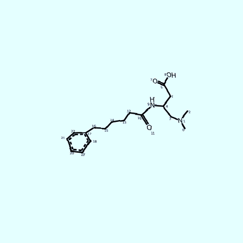 CN(C)CC(CC(=O)O)NC(=O)CCCCCc1ccccc1